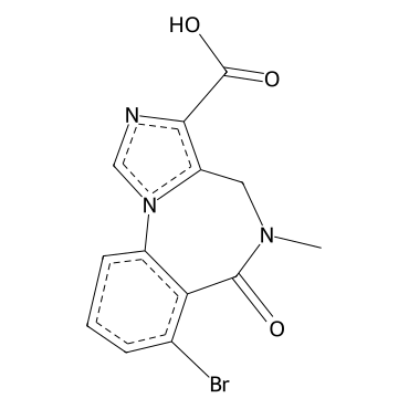 CN1Cc2c(C(=O)O)ncn2-c2cccc(Br)c2C1=O